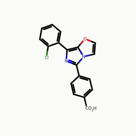 O=C(O)c1ccc(-c2nc(-c3ccccc3Cl)c3occn23)cc1